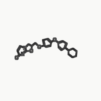 O=c1ccn2c(n1)OC(COc1ccc(Oc3ccc(C4CCCCC4)cc3)cc1)C2